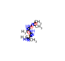 Cc1ncc(NC(=O)CN2CC(C)OC(C)C2)cc1NC(=O)c1cnn2cc(-c3c(C)n[nH]c3C)sc12